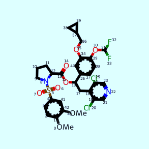 COc1ccc(S(=O)(=O)N2CCCC2C(=O)OC(Cc2c(Cl)cncc2Cl)c2ccc(OC(F)F)c(OCC3CC3)c2)cc1OC